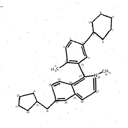 Cc1ccc(C2CCCCC2)cc1-c1c2ccc(CC3CCCC3)cc2cc[n+]1C